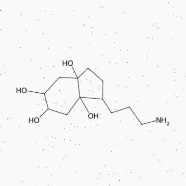 NCCCC1CCC2(O)CC(O)C(O)CC12O